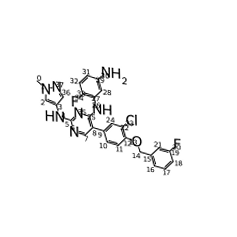 Cn1cc(Nc2ncc(-c3ccc(OCc4cccc(F)c4)c(Cl)c3)c(Nc3cc(N)ccc3F)n2)cn1